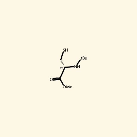 COC(=O)[C@H](CS)NC(C)(C)C